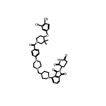 CC1(C)CN(C(=O)c2ccc(N3CCN(CC4CCN(c5cccc6c5C(=O)N(C5CCC(=O)NC5=O)C6=O)CC4)CC3)cc2)CCC1Oc1ccc(C#N)c(Cl)c1